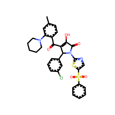 Cc1ccc(C(=O)C2=C(O)C(=O)N(c3ncc(S(=O)(=O)c4ccccc4)s3)C2c2cccc(Cl)c2)c(N2CCCCC2)c1